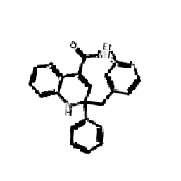 CCc1cc(CC2(c3ccccc3)C=C(C(N)=O)c3ccccc3N2)ccn1